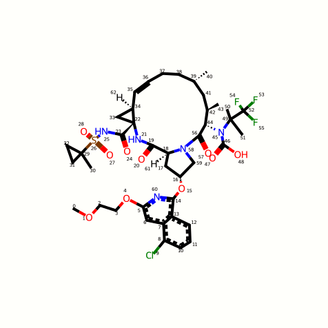 COCCOc1cc2c(Cl)cccc2c(O[C@@H]2C[C@H]3C(=O)N[C@]4(C(=O)NS(=O)(=O)C5(C)CC5)C[C@H]4/C=C\CC[C@H](C)C[C@@H](C)[C@H](N(C(=O)O)C(C)(C)C(F)(F)F)C(=O)N3C2)n1